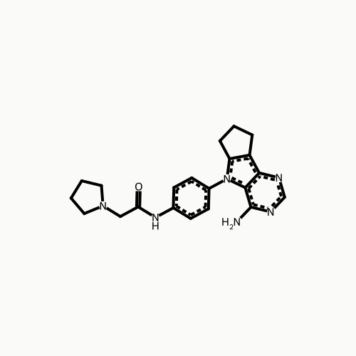 Nc1ncnc2c3c(n(-c4ccc(NC(=O)CN5CCCC5)cc4)c12)CCC3